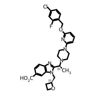 C[C@@H](c1nc2ccc(C(=O)O)cc2n1C[C@@H]1CCO1)N1CCN(c2cccc(OCc3ccc(Cl)cc3F)n2)CC1